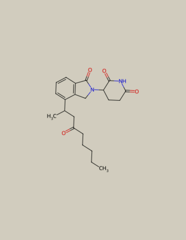 CCCCCC(=O)CC(C)c1cccc2c1CN(C1CCC(=O)NC1=O)C2=O